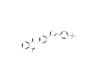 O=C(O)c1ccccc1C(=O)Nc1ccc(-c2csc(-c3ccc(C(F)(F)F)cc3)n2)cc1